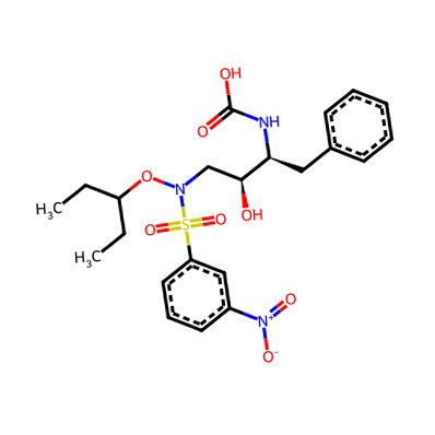 CCC(CC)ON(C[C@H](O)[C@H](Cc1ccccc1)NC(=O)O)S(=O)(=O)c1cccc([N+](=O)[O-])c1